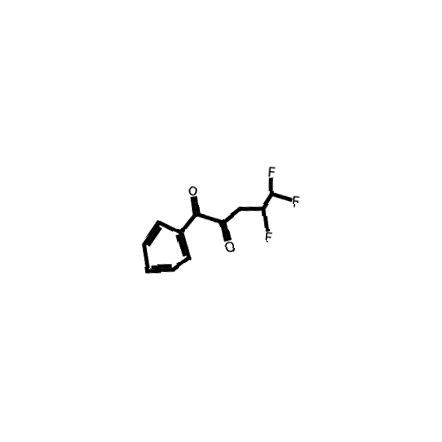 O=C(CC(F)C(F)F)C(=O)c1ccccc1